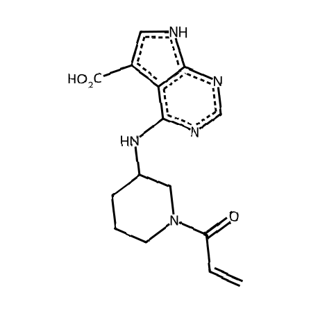 C=CC(=O)N1CCCC(Nc2ncnc3[nH]cc(C(=O)O)c23)C1